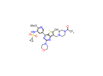 COc1ncc(-c2nc(N3CCOCC3)nc3c(CN4CCN(C(=O)C(F)(F)F)CC4)c(C)sc23)cc1NS(=O)(=O)C1CC1